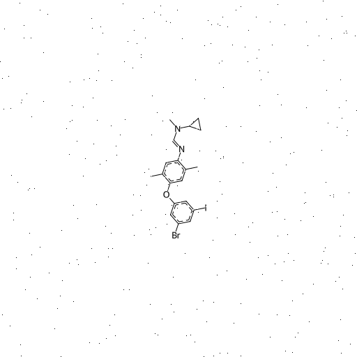 Cc1cc(Oc2cc(Br)cc(I)c2)c(C)cc1/N=C/N(C)C1CC1